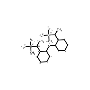 CC(C1CCCCC1OC1CCCCC1C(C)[Si](C)(C)C)[Si](C)(C)C